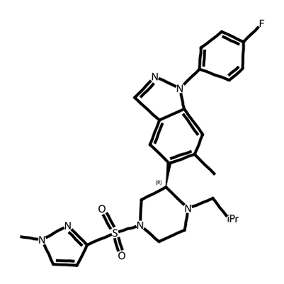 Cc1cc2c(cnn2-c2ccc(F)cc2)cc1[C@@H]1CN(S(=O)(=O)c2ccn(C)n2)CCN1CC(C)C